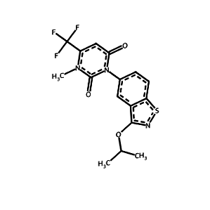 CC(C)Oc1nsc2ccc(-n3c(=O)cc(C(F)(F)F)n(C)c3=O)cc12